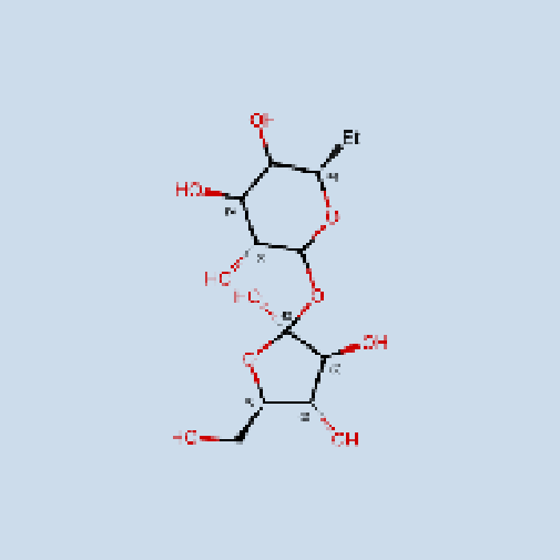 CC[C@H]1OC(O[C@]2(O)O[C@H](CO)[C@@H](O)[C@@H]2O)[C@H](O)[C@@H](O)C1O